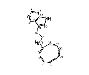 c1ccccc(NCCc2c[nH]c3ccncc23)cccc1